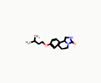 CC(C)CCOc1ccc2c(c1)CCN1C(=O)NCC21